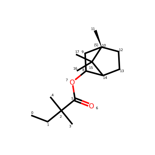 CCC(C)(C)C(=O)OC1C[C@]2(C)CCC1C2(C)C